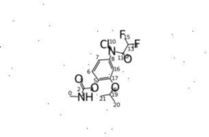 CNC(=O)Oc1ccc(N(Cl)C(=O)C(F)F)cc1OC(C)C